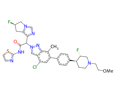 COCCN1CC[C@@H](c2ccc(-c3cc(Cl)c4cn(C(C(=O)Nc5nccs5)c5ncn6c5C[C@@H](F)C6)nc4c3C)cc2)[C@H](F)C1